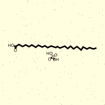 CCCCCCCCCCCCCCCCCCCCCCCCCC(=O)O.O=S(=O)(O)O